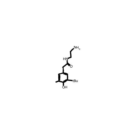 Cc1cc(CC(=O)NCCN)cc(C(C)(C)C)c1O